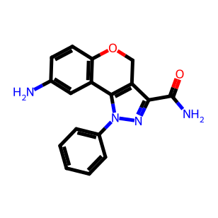 NC(=O)c1nn(-c2ccccc2)c2c1COc1ccc(N)cc1-2